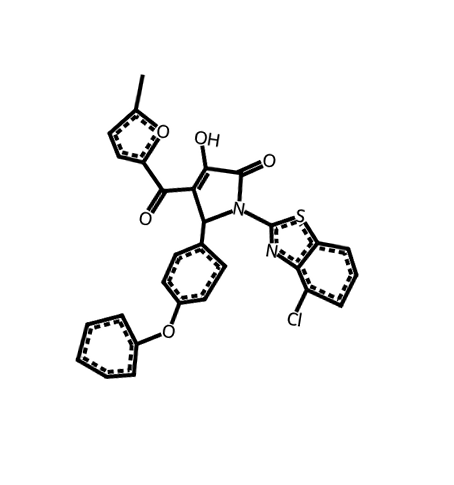 Cc1ccc(C(=O)C2=C(O)C(=O)N(c3nc4c(Cl)cccc4s3)C2c2ccc(Oc3ccccc3)cc2)o1